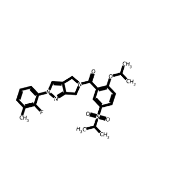 Cc1cccc(-n2cc3c(n2)CN(C(=O)c2cc(S(=O)(=O)C(C)C)ccc2OC(C)C)C3)c1F